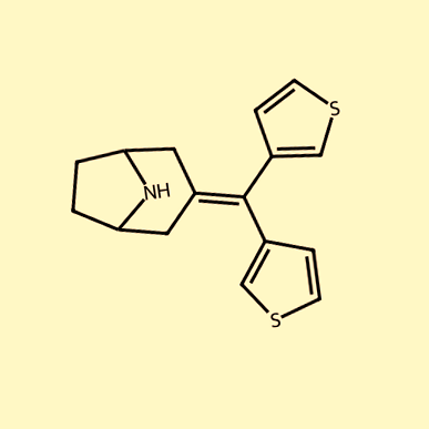 c1cc(C(=C2CC3CCC(C2)N3)c2ccsc2)cs1